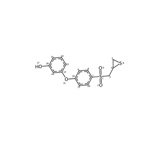 O=S(=O)(CC1CS1)c1ccc(Oc2cccc(O)c2)cc1